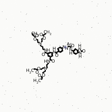 C=CC(=O)OCCN(CCCNC(=O)c1cc(NC(=O)c2ccc(/N=N/C(C(C)=O)C(=O)Nc3ccc4[nH]c(=O)[nH]c4c3)cc2)cc(C(=O)NCCCN(CCOC(=O)C=C)CCOC(=O)C=C)c1)CCOC(=O)C=C